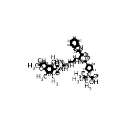 Cc1c(C)c(S(=O)(=O)NC(=N)NCCC[C@H](NC(=O)[C@H]2CC[C@@H](N(C(=O)O)C(C)(C)C)C2)C(=O)c2nc3ccccc3s2)c(C)c2c1OC(C)(C)C2